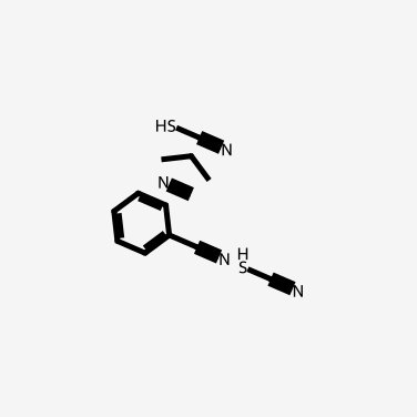 C#N.CCC.N#CS.N#CS.N#Cc1ccccc1